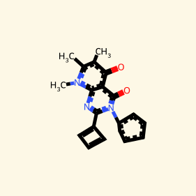 Cc1c(C)n(C)c2nc(C3=CC=C3)n(-c3ccccc3)c(=O)c2c1=O